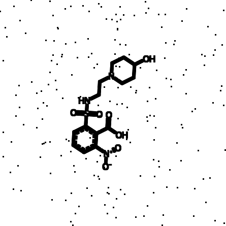 O=C(O)c1c([N+](=O)[O-])cccc1S(=O)(=O)NCCN1CCC(O)CC1